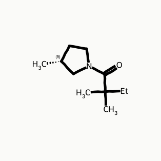 CCC(C)(C)C(=O)N1CC[C@@H](C)C1